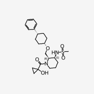 CS(=O)(=O)N[C@H]1CCCN(C(=O)C2(O)CC2)[C@H]1CO[C@H]1CC[C@@H](c2ccccc2)CC1